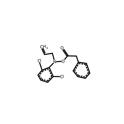 C=CCN(OC(=O)Cc1ccccc1)c1c(Cl)cccc1Cl